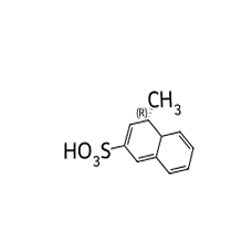 C[C@H]1C=C(S(=O)(=O)O)C=C2C=CC=CC21